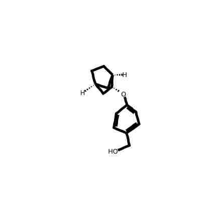 OCc1ccc(O[C@@H]2C[C@H]3CC[C@@H]2C3)cc1